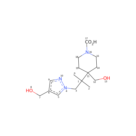 CC(C)(Cn1cc(CO)cn1)C1(CO)CCN(C(=O)O)CC1